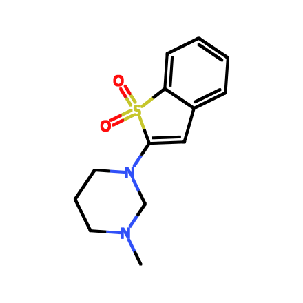 CN1CCCN(C2=Cc3ccccc3S2(=O)=O)C1